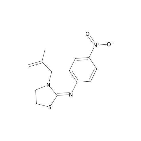 C=C(C)CN1CCSC1=Nc1ccc([N+](=O)[O-])cc1